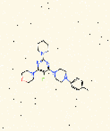 Cc1ccc(N2CCN(c3nc(N4CCCCC4)nc(N4CCOCC4)c3F)CC2)cc1